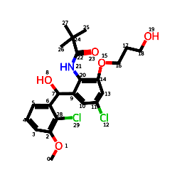 COc1cccc(C(O)c2cc(Cl)cc(OCCCO)c2NC(=O)C(C)(C)C)c1Cl